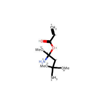 C=CC(=O)OC(N)(CC([SiH3])(OC)OC)OC